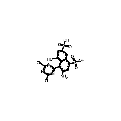 Nc1cc(S(=O)(=O)O)c2cc(S(=O)(=O)O)cc(O)c2c1-c1nc(Cl)nc(Cl)n1